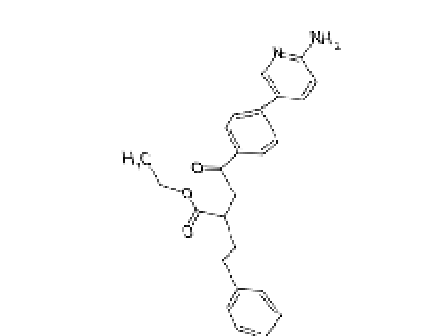 CCOC(=O)C(CCc1ccccc1)CC(=O)c1ccc(-c2ccc(N)nc2)cc1